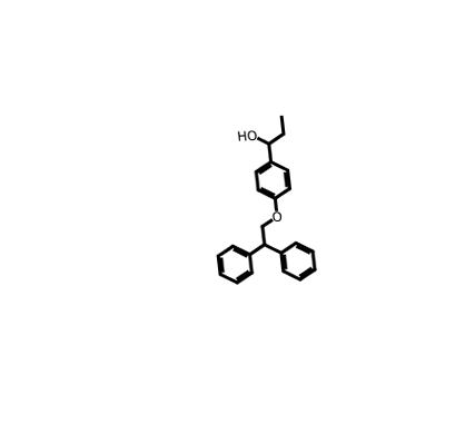 CCC(O)c1ccc(OCC(c2ccccc2)c2ccccc2)cc1